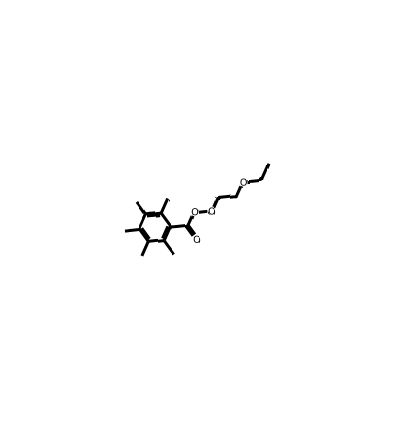 CCOC[CH]OOC(=O)c1c(C)c(C)c(C)c(C)c1C